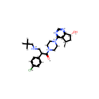 C[C@@H]1C[C@@H](O)c2ncnc(N3CCN(C(=O)C(CNCC(C)(C)C)c4ccc(Cl)cc4)CC3)c21